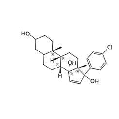 C[C@]12CCC(O)CC1CC[C@@H]1[C@H]2CC[C@]2(C)C(O)(c3ccc(Cl)cc3)C=C[C@@]12O